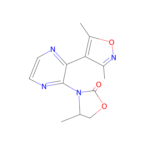 Cc1noc(C)c1-c1nccnc1N1C(=O)OCC1C